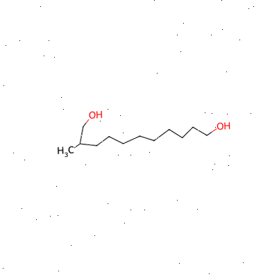 CC(CO)CCCCCCCCCO